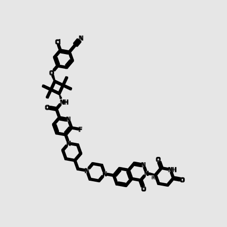 CC1(C)[C@H](NC(=O)c2ccc(N3CCC(CN4CCN(c5ccc6c(=O)n([C@@H]7CCC(=O)NC7=O)ncc6c5)CC4)CC3)c(F)n2)C(C)(C)[C@H]1Oc1ccc(C#N)c(Cl)c1